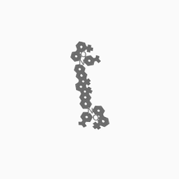 CC(C)c1ccc(N(c2ccc3cc4c(cc3c2)C(C)(C)c2c-4ccc3c2C(C)(C)c2cc4cc(N(c5ccc(C(C)C)cc5)c5cccc6c5oc5c(C(C)(C)C)cccc56)ccc4cc2-3)c2cccc3c2oc2c(C(C)(C)C)cccc23)cc1